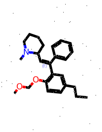 CCCc1ccc(OCOC)c(/C(=C/C2CCCCN2C)c2ccccc2)c1